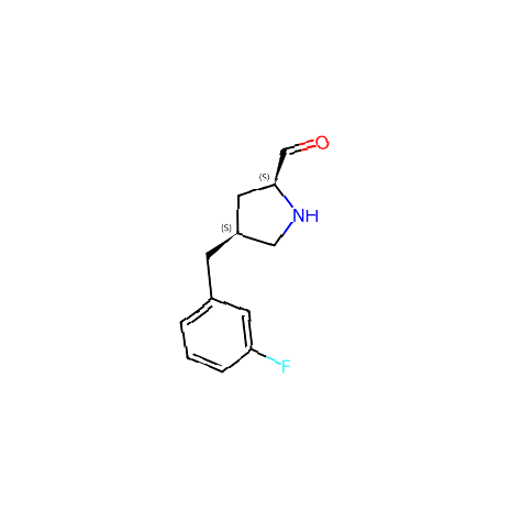 O=C[C@@H]1C[C@H](Cc2cccc(F)c2)CN1